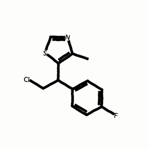 Cc1ncsc1C(CCl)c1ccc(F)cc1